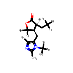 [2H]c1nc(C)n(C([2H])([2H])[2H])c1C[C@H]1C([2H])([2H])OC(=O)[C@@]1([2H])CC([2H])([2H])[2H]